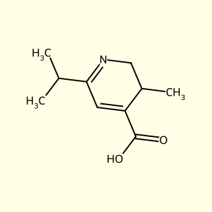 CC(C)C1=NCC(C)C(C(=O)O)=C1